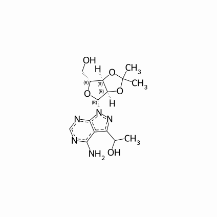 CC(O)c1nn([C@@H]2O[C@H](CO)[C@H]3OC(C)(C)O[C@H]32)c2ncnc(N)c12